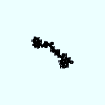 CC1(NCc2ccc(C(=O)NCCCCNCC(O)c3ccc(O)c4[nH]c(=O)ccc34)s2)CCc2ccccc21